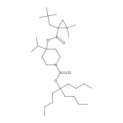 CCCCC(CCCC)(CCCC)OC(=O)N1CCC(OC(=O)C2(CC(C)(C)C)CC2(C)C)(C(C)C)CC1